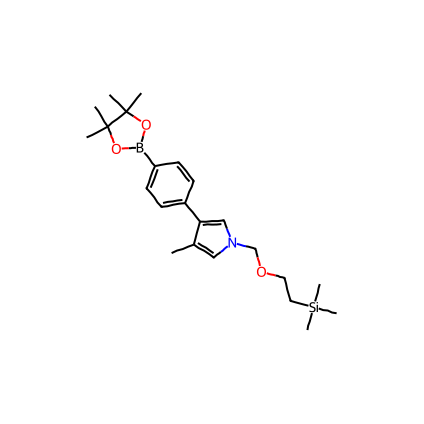 Cc1cn(COCC[Si](C)(C)C)cc1-c1ccc(B2OC(C)(C)C(C)(C)O2)cc1